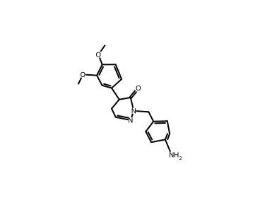 COc1ccc(C2CC=NN(Cc3ccc(N)cc3)C2=O)cc1OC